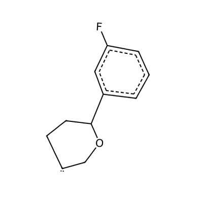 Fc1cccc(C2CC[C]CO2)c1